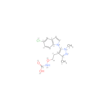 Cc1nn(C)c(-n2ccc3cc(Cl)ccc32)c1CCONC(=O)O